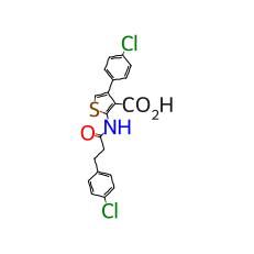 O=C(CCc1ccc(Cl)cc1)Nc1scc(-c2ccc(Cl)cc2)c1C(=O)O